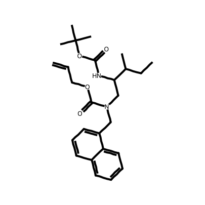 C=CCOC(=O)N(Cc1cccc2ccccc12)CC(NC(=O)OC(C)(C)C)C(C)CC